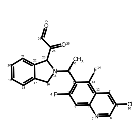 CC(c1c(F)cc2ncc(Cl)cc2c1F)N1Cc2ccccc2C1C(=O)C=O